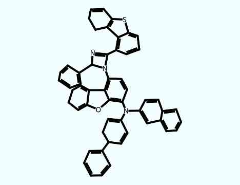 C1=Cc2sc3cccc(C4=NC(c5ccccc5)N4c4ccc(N(C5=CCC(c6ccccc6)C=C5)c5ccc6ccccc6c5)c5oc6c(c45)=CCCC=6)c3c2CC1